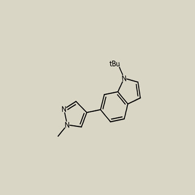 Cn1cc(-c2ccc3ccn(C(C)(C)C)c3c2)cn1